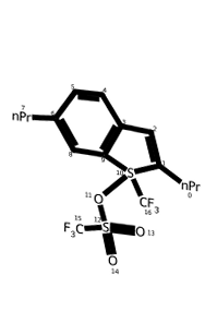 CCCC1=Cc2ccc(CCC)cc2S1(OS(=O)(=O)C(F)(F)F)C(F)(F)F